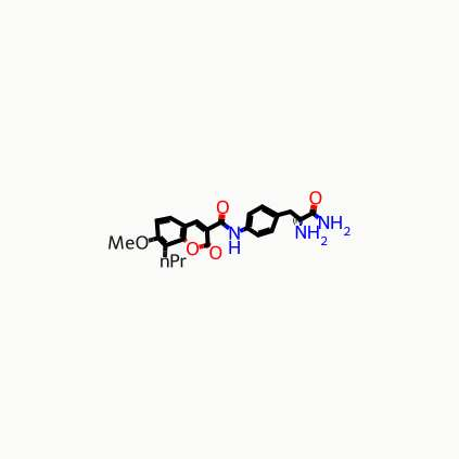 CCCc1c(OC)ccc2cc(C(=O)Nc3ccc(C[C@@H](N)C(N)=O)cc3)c(=O)oc12